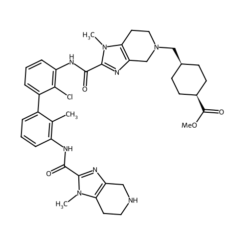 COC(=O)[C@H]1CC[C@@H](CN2CCc3c(nc(C(=O)Nc4cccc(-c5cccc(NC(=O)c6nc7c(n6C)CCNC7)c5C)c4Cl)n3C)C2)CC1